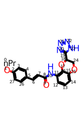 CCCOc1ccc(/C=C/C(=O)Nc2cccc3c2OC(c2nnn[nH]2)CO3)cc1